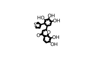 O=c1cc(-c2cc(O)c(O)c(O)c2-c2ccsc2)oc2c(O)c(O)ccc12